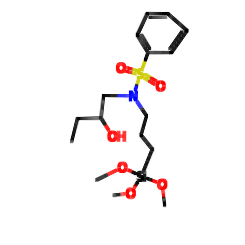 CCC(O)CN(CCC[Si](OC)(OC)OC)S(=O)(=O)c1ccccc1